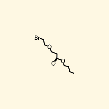 CCCCOC(=O)CCOCCBr